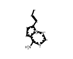 C/C=C/c1ccc2c(N)ncnn12